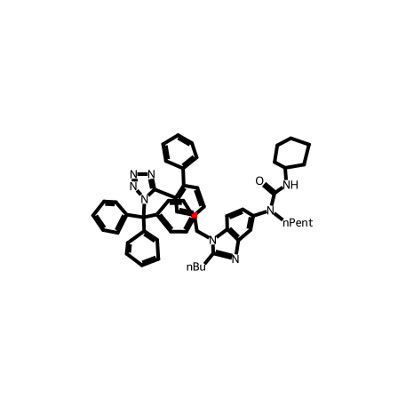 CCCCCN(C(=O)NC1CCCCC1)c1ccc2c(c1)nc(CCCC)n2Cc1ccc(-c2ccccc2)c(-c2nnnn2C(c2ccccc2)(c2ccccc2)c2ccccc2)c1